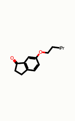 CC(C)CCOc1ccc2c(c1)C(=O)CC2